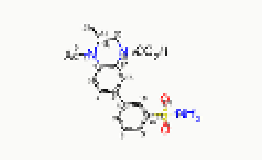 CC(=O)N1c2ccc(-c3cccc(S(N)(=O)=O)c3)cc2N(C(=O)O)C[C@@H]1C